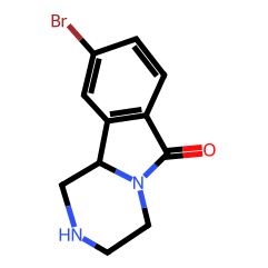 O=C1c2ccc(Br)cc2C2CNCCN12